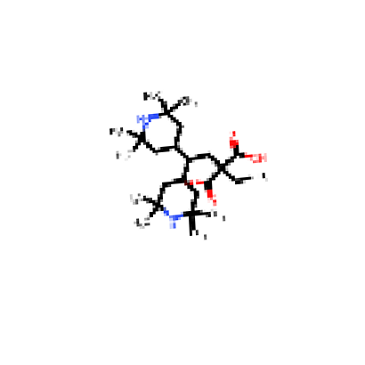 CCC(CC(C1CC(C)(C)NC(C)(C)C1)C1CC(C)(C)NC(C)(C)C1)(C(=O)O)C(=O)O